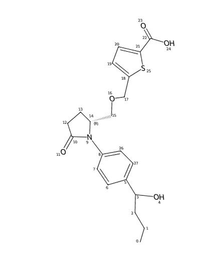 CCCC(O)c1ccc(N2C(=O)CC[C@@H]2COCc2ccc(C(=O)O)s2)cc1